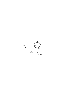 C=CCNCC=C.Cn1cncn1